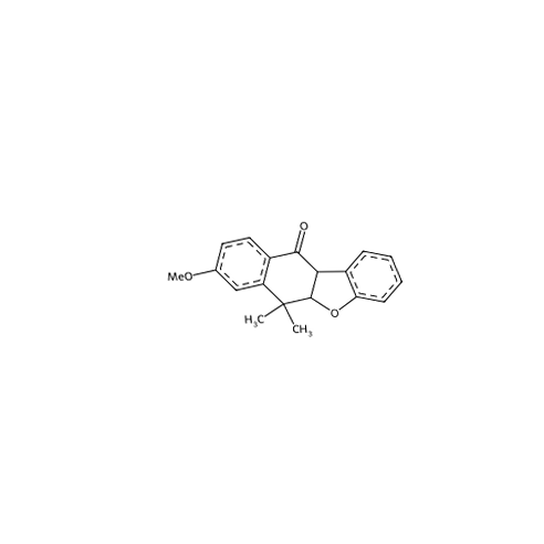 COc1ccc2c(c1)C(C)(C)C1Oc3ccccc3C1C2=O